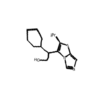 CC(C)c1sc2cncn2c1C(CO)C1CCCCC1